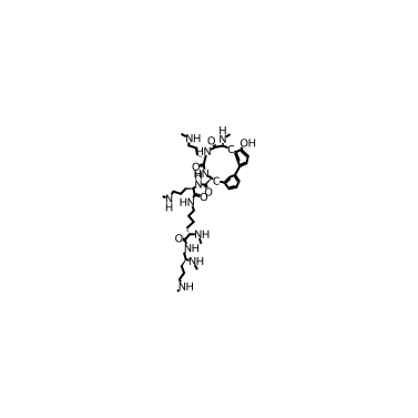 CNCCC[C@@H](CNC(=O)[C@H](CCCCNC(=O)[C@@H](CCCNC)NC(=O)[C@@H]1Cc2cccc(c2)-c2ccc(O)c(c2)C[C@H](NC)C(=O)N[C@@H](CCCNC)C(=O)N1)NC)NC